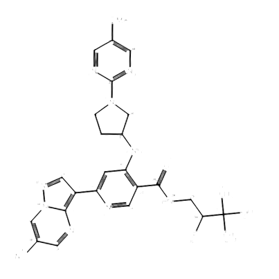 COc1cnc(N2CCC(Nc3cc(-c4cnn5cc(C#N)cnc45)ncc3C(=O)NCC(F)C(C)(C)O)C2)nc1